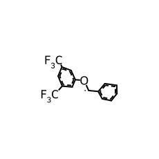 FC(F)(F)c1cc(O[CH]c2ccccc2)cc(C(F)(F)F)c1